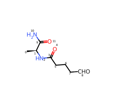 C[C@H](NC(=O)CCCC=O)C(N)=O